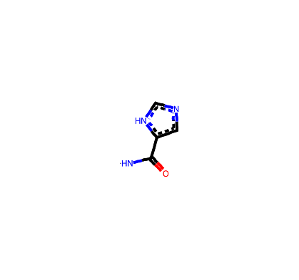 [NH]C(=O)c1cnc[nH]1